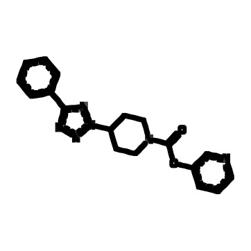 O=C(Oc1cccnc1)N1CCC(n2nnc(-c3ccccc3)n2)CC1